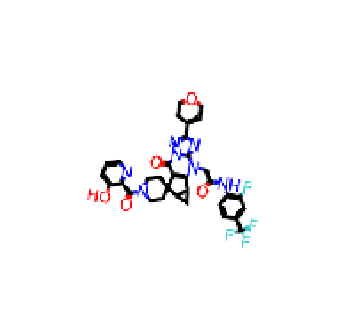 O=C(Cn1c2c(c(=O)n3nc(C4=CCOCC4)nc13)C1(CCN(C(=O)c3ncccc3O)CC1)C1CC21)Nc1ccc(C(F)(F)F)cc1F